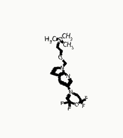 CS(C)(C)CCOCn1ccc2cc(N3CC(F)(F)OC(F)(F)C3)cnc21